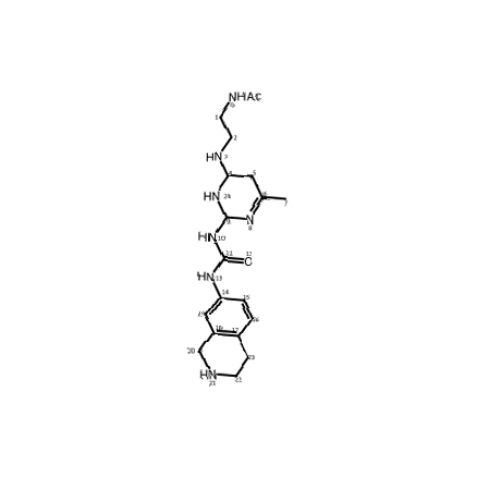 CC(=O)NCCNC1CC(C)=NC(NC(=O)Nc2ccc3c(c2)CNCC3)N1